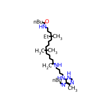 C=C(CCCCC(C)(C)CCCCC(C)(CC)CCCNC(=O)CCCC)NCCCCNC1NC=NC(C)=C1/N=C\CCCC